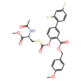 COC(=O)[C@H](CSC(=O)Oc1ccc(-c2ccc(F)cc2F)cc1C(=O)OCc1ccc(OC)cc1)NC(C)=O